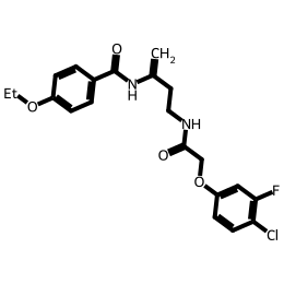 C=C(CCNC(=O)COc1ccc(Cl)c(F)c1)NC(=O)c1ccc(OCC)cc1